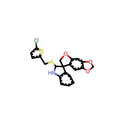 Clc1ccc(CSC2Nc3ccccc3C23COc2cc4c(cc23)OCO4)s1